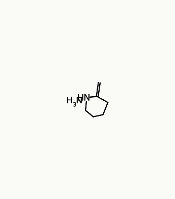 C=C1CCCCN1.N